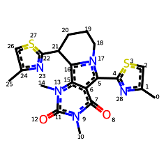 Cc1csc(-c2c3c(=O)n(C)c(=O)n(C)c3c3n2CCCC3c2nc(C)cs2)n1